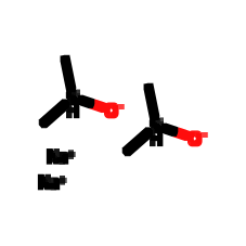 C[SiH](C)[O-].C[SiH](C)[O-].[Na+].[Na+]